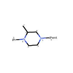 CCCC(C)N1CCN(C(C)C)C(C)C1